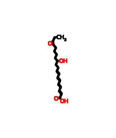 CCC1OC1CCCCC(O)CCC=CC=CC=CC=CC(=O)O